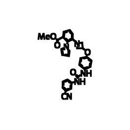 COC(=O)c1cccc(N2CC(Oc3ccc(NC(=O)Nc4cccc(C#N)c4)cc3)C2)c1-n1cccc1